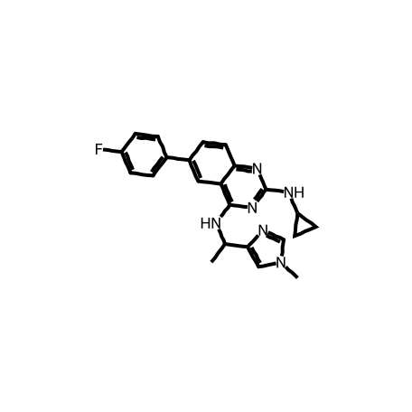 CC(Nc1nc(NC2CC2)nc2ccc(-c3ccc(F)cc3)cc12)c1cn(C)cn1